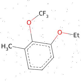 CCOc1cccc(C)c1OC(F)(F)F